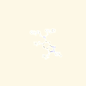 CCOC(=O)CN(CC(=O)OCC)c1cc2nn(C)c(C)c2cc1C